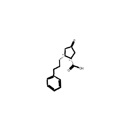 O=C1C[C@@H](CCCc2ccccc2)[C@@H](C(=O)O)C1